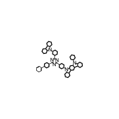 C1=CC(c2ccc(-c3nc(-c4ccc(-n5c6ccccc6c6cc7c8ccccc8n(-c8ccccc8)c7cc65)cc4)nc(-c4cccc(-n5c6ccccc6c6ccccc65)c4)n3)cc2)=CCC1